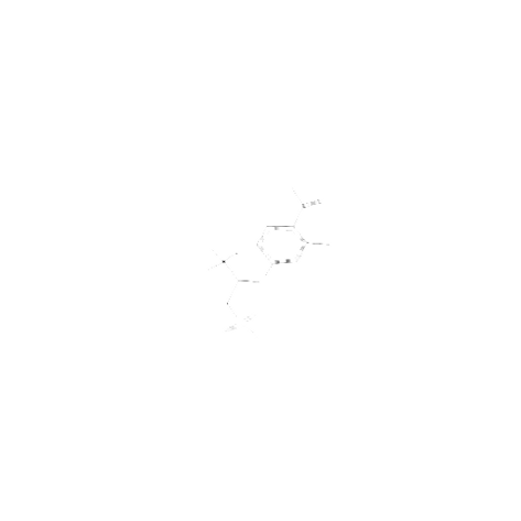 C=C(C)c1ccc(OC(CS(=O)(=O)O)C(F)(F)F)cc1I